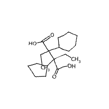 CCC(C(=O)O)(C1CCCCC1)C(CC)(C(=O)O)C1CCCC1